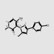 Cc1cc(-c2ccc(Cl)cc2)nn1-c1c(O)cnn(C)c1=O